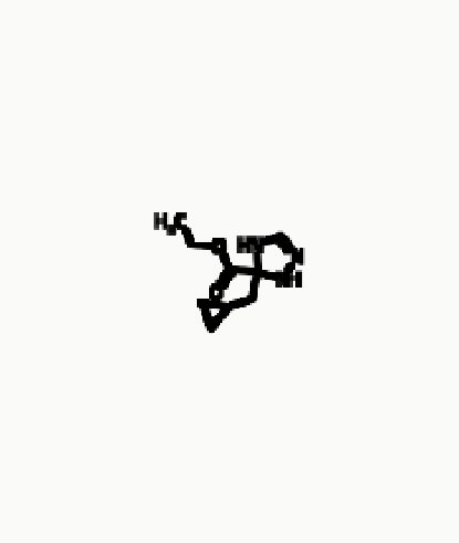 CCOC(=O)C1(CC2CC2)NC=NN1